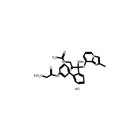 CCOC(=O)CC(=O)Nc1cccc(-c2ccccc2C(NC)(Oc2cccn3cc(C)nc23)C(=O)CNC(N)=O)c1.Cl